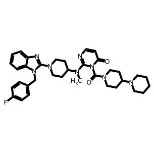 CN(c1nccc(=O)n1C(=O)N1CCC(N2CCCCC2)CC1)C1CCN(c2nc3ccccc3n2Cc2ccc(F)cc2)CC1